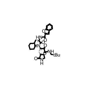 CC(C)(C)CNC(=O)C(=O)[C@H](C[C@@H]1CCNC1=O)NC(=O)[C@H](CC1CCCCC1)NC(=O)c1cc2ccccc2o1